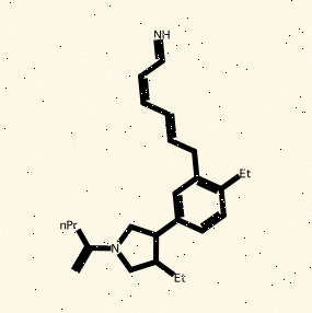 C=C(CCC)N1CC(CC)C(c2ccc(CC)c(C/C=C/C=C\C=N)c2)C1